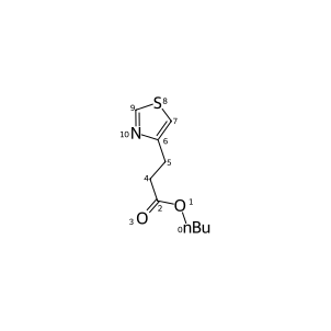 CCCCOC(=O)CCc1cscn1